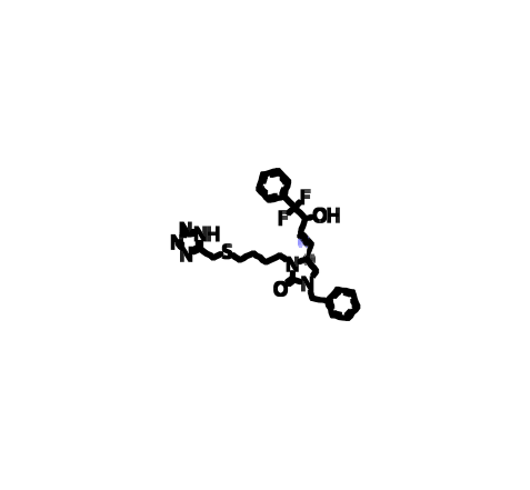 O=C1N(Cc2ccccc2)C[C@H](/C=C/C(O)C(F)(F)c2ccccc2)N1CCCCSCc1nnn[nH]1